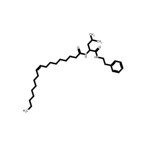 CCCCCCCC/C=C\CCCCCCCC(=O)NC(CC(C)C)C(=O)NCCc1ccccc1